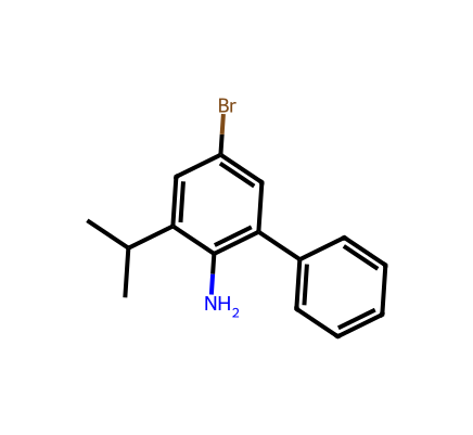 CC(C)c1cc(Br)cc(-c2ccccc2)c1N